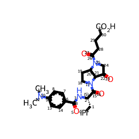 CC(C)C[C@H](NC(=O)c1ccc(N(C)C)cc1)C(=O)N1CCC2C1C(=O)CN2C(=O)CCCC(=O)O